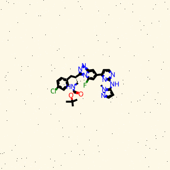 Cn1nccc1Nc1nccc(-c2cc(F)n3c([C@H](CNC(=O)OC(C)(C)C)Cc4ccc(Cl)cc4)nnc3c2)n1